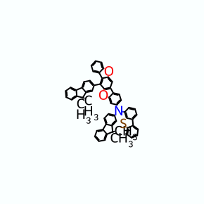 CC1(C)c2ccccc2-c2ccc(-c3c4oc5cc(N(c6ccc7c(c6)C(C)(C)c6ccccc6-7)c6cccc7c6sc6ccccc67)ccc5c4cc4oc5ccccc5c34)cc21